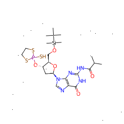 CC(C)C(=O)Nc1nc2c(ncn2[C@H]2C[C@H](O[P]3(S)SCCS3)[C@@H](CO[Si](C)(C)C(C)(C)C)O2)c(=O)[nH]1